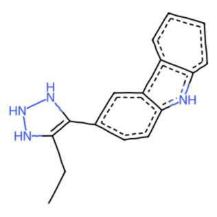 CCC1=C(c2ccc3[nH]c4ccccc4c3c2)NNN1